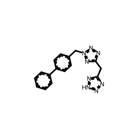 c1ccc(-c2ccc(Cn3nnc(Cc4nn[nH]n4)n3)cc2)cc1